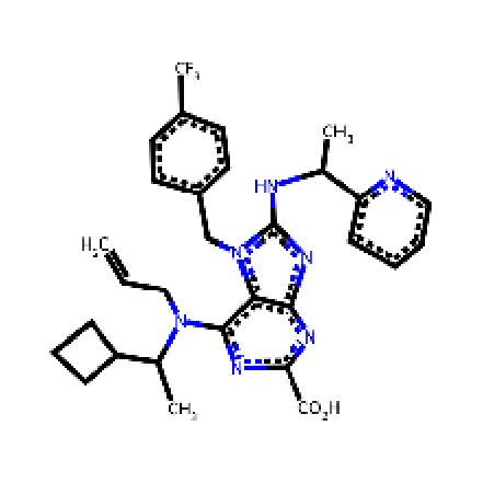 C=CCN(c1nc(C(=O)O)nc2nc(NC(C)c3ccccn3)n(Cc3ccc(C(F)(F)F)cc3)c12)C(C)C1CCC1